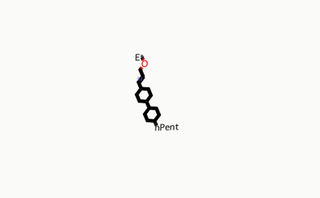 CCCCCC1CCC(C2CCC(/C=C/COCC)CC2)CC1